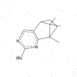 CC(C)(C)c1ncc2c(n1)C1(C)CCC2C1(C)C